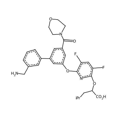 CC(C)CC(Oc1nc(Oc2cc(C(=O)N3CCOCC3)cc(-c3cccc(CN)c3)c2)c(F)cc1F)C(=O)O